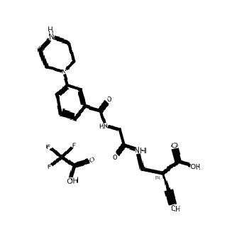 C#C[C@@H](CNC(=O)CNC(=O)c1cccc(N2CCNCC2)c1)C(=O)O.O=C(O)C(F)(F)F